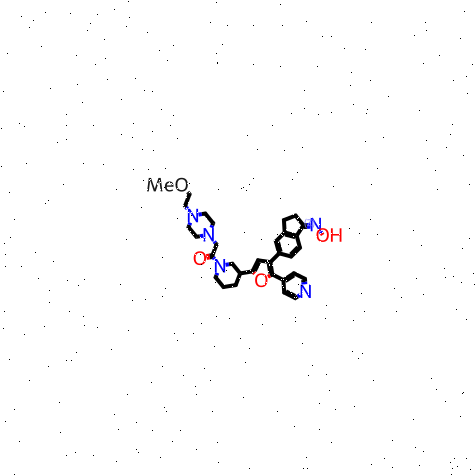 COCCN1CCN(CC(=O)N2CCCC(c3cc(-c4ccc5c(c4)CC/C5=N/O)c(-c4ccncc4)o3)C2)CC1